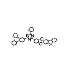 CC1(C)c2ccccc2-c2cc3c(cc21)Oc1ccc(-c2nc(-c4ccccc4)nc(-c4ccc5c6ccccc6c6ccccc6c5c4)n2)cc1O3